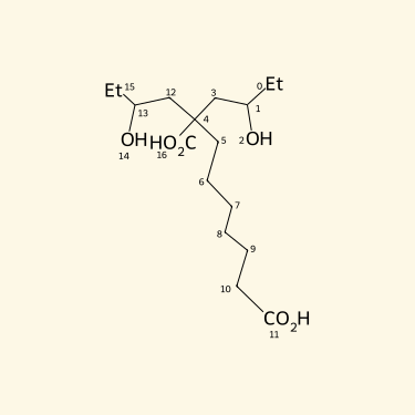 CCC(O)CC(CCCCCCC(=O)O)(CC(O)CC)C(=O)O